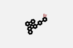 Brc1cccc(-c2ccc(-c3ccc4c(c3)C3(c5ccccc5-c5ccccc53)c3ccc5ccccc5c3-4)cc2)c1